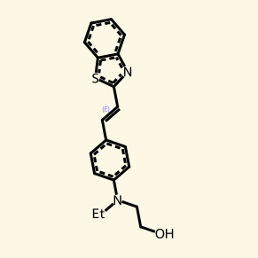 CCN(CCO)c1ccc(/C=C/c2nc3ccccc3s2)cc1